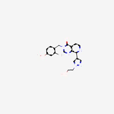 COc1ccc(Cn2cnc3c(-c4cnn(CCO)c4)nccc3c2=O)c(C)c1